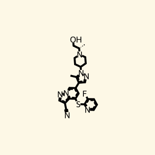 Cc1c(-c2cc(Sc3ncccc3F)c3c(C#N)cnn3c2)cnn1C1CCN([C@@H](C)CO)CC1